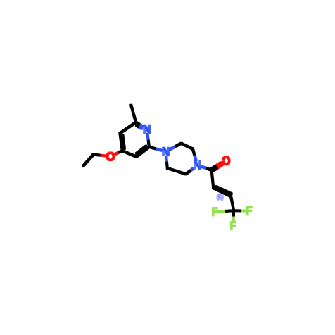 CCOc1cc(C)nc(N2CCN(C(=O)/C=C/C(F)(F)F)CC2)c1